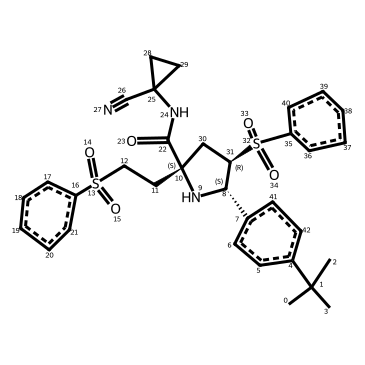 CC(C)(C)c1ccc([C@@H]2N[C@](CCS(=O)(=O)c3ccccc3)(C(=O)NC3(C#N)CC3)C[C@H]2S(=O)(=O)c2ccccc2)cc1